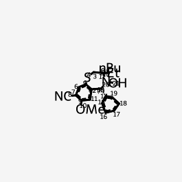 CCCC[C@]1(CC)CSc2cc(C#N)c(OC)cc2[C@@H](c2ccccc2)N1O